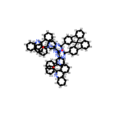 c1ccc(-c2cccc(-c3nc(-c4ccc5c(c4)C4(c6ccccc6-5)c5ccccc5-c5ccc(-c6nc(-c7cccc(-c8ccccc8)c7)nc(N7c8ccccc8-c8nc9ccccc9c9cccc7c89)n6)cc54)nc(N4c5ccccc5-c5nc6ccccc6c6cccc4c56)n3)c2)cc1